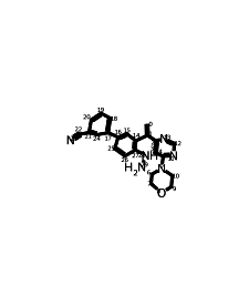 C=C(c1cc(N2CCOCC2)ncn1)c1cc(-c2cccc(C#N)c2)ccc1NN